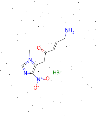 Br.Cn1cnc([N+](=O)[O-])c1CC(=O)C=CCN